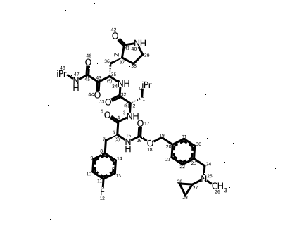 CC(C)C[C@H](NC(=O)[C@H](Cc1ccc(F)cc1)NC(=O)OCc1ccc(CN(C)C2CC2)cc1)C(=O)N[C@@H](C[C@@H]1CCNC1=O)C(=O)C(=O)NC(C)C